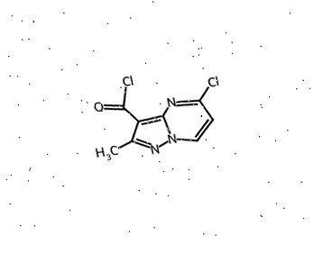 Cc1nn2ccc(Cl)nc2c1C(=O)Cl